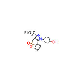 CCOC(=O)c1nn(C2CCC(O)CC2)c2c1CS(=O)(=O)c1ccccc1-2